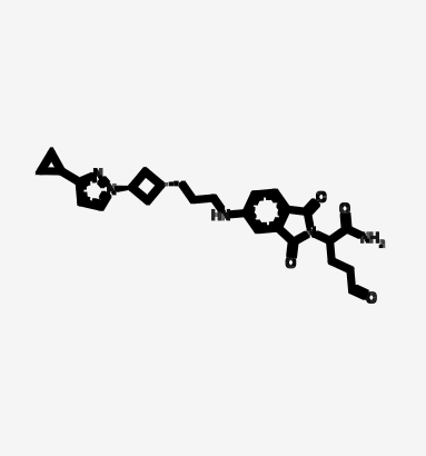 NC(=O)C(CCC=O)N1C(=O)c2ccc(NCCC[C@H]3C[C@H](n4ccc(C5CC5)n4)C3)cc2C1=O